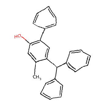 Cc1cc(O)c(-c2ccccc2)cc1C(c1ccccc1)c1ccccc1